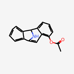 CC(=O)Oc1cccc2c1C=C1NC2c2ccccc21